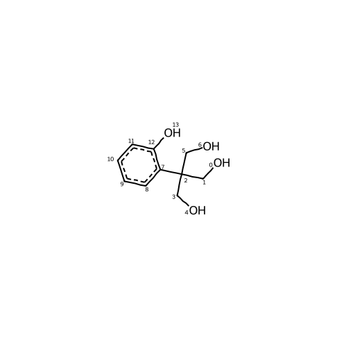 OCC(CO)(CO)c1ccccc1O